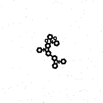 c1ccc(-n2c3ccccc3c3cc(-c4ccc5c(c4)c4cc6c(cc4n5-c4ccccc4)Oc4cccc5c4N6c4ccccc4O5)ccc32)cc1